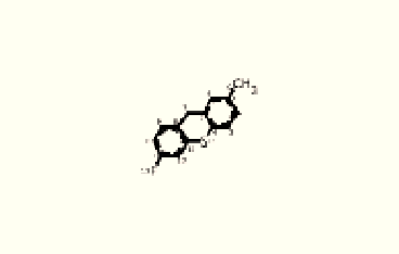 Cc1ccc2c(c1)Cc1ccc(F)cc1S2